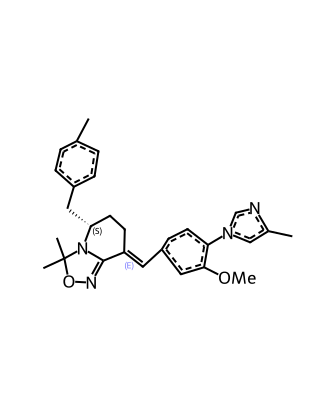 COc1cc(/C=C2\CC[C@@H](Cc3ccc(C)cc3)N3C2=NOC3(C)C)ccc1-n1cnc(C)c1